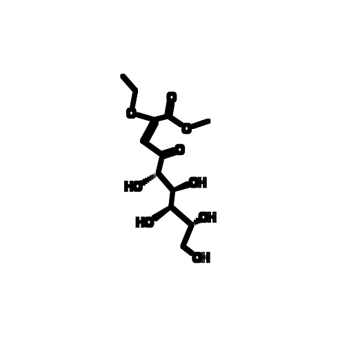 CCOC(=CC(=O)[C@@H](O)[C@@H](O)[C@H](O)[C@H](O)CO)C(=O)OC